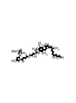 COP(C)(=O)OC[C@@H]1CC(O)CN1C(=O)CCCSSCCNC(=O)Oc1c(C)c(C)c2c(c1C)CC[C@@](C)(CCC[C@H](C)CCC[C@H](C)CCCC(C)C)O2